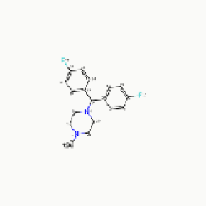 CC(C)(C)N1CCN(C(c2ccc(F)cc2)c2ccc(F)cc2)CC1